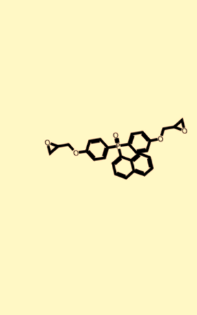 O=P(c1ccc(OCC2CO2)cc1)(c1ccc(OCC2CO2)cc1)c1cccc2ccccc12